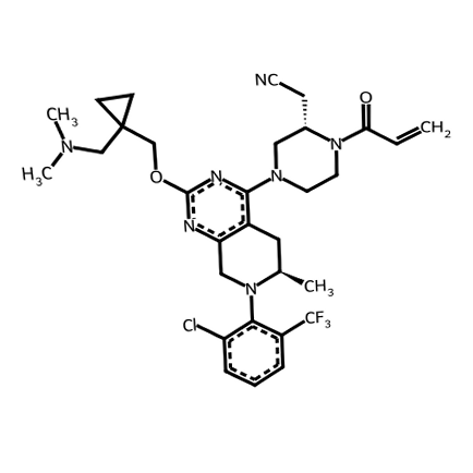 C=CC(=O)N1CCN(c2nc(OCC3(CN(C)C)CC3)nc3c2C[C@@H](C)N(c2c(Cl)cccc2C(F)(F)F)C3)C[C@@H]1CC#N